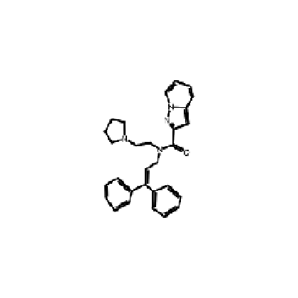 O=C(c1cc2ccccn2n1)N(CC=C(c1ccccc1)c1ccccc1)CCN1CCCC1